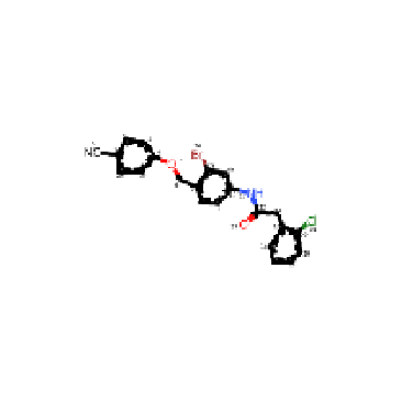 N#Cc1ccc(OCc2ccc(NC(=O)Cc3ccccc3Cl)cc2Br)cc1